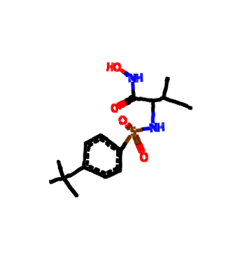 CC(C)C(NS(=O)(=O)c1ccc(C(C)(C)C)cc1)C(=O)NO